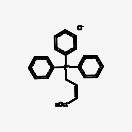 CCCCCCCC/C=C\C[P+](c1ccccc1)(c1ccccc1)c1ccccc1.[Cl-]